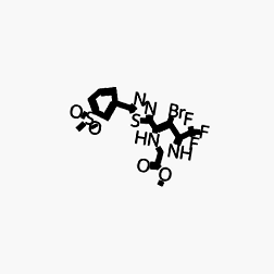 COC(=O)CN/C(=C(/Br)C(=N)C(F)(F)F)c1nnc(-c2cccc(S(C)(=O)=O)c2)s1